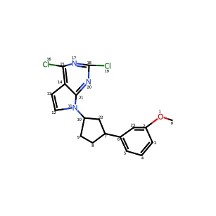 COc1cccc(C2CCC(n3ccc4c(Cl)nc(Cl)nc43)C2)c1